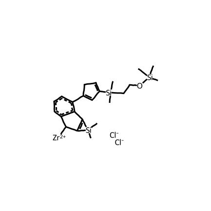 C[Si](C)(C)OCC[Si](C)(C)C1=CCC(c2cccc3c2C2=C([CH]3[Zr+2])[Si]2(C)C)=C1.[Cl-].[Cl-]